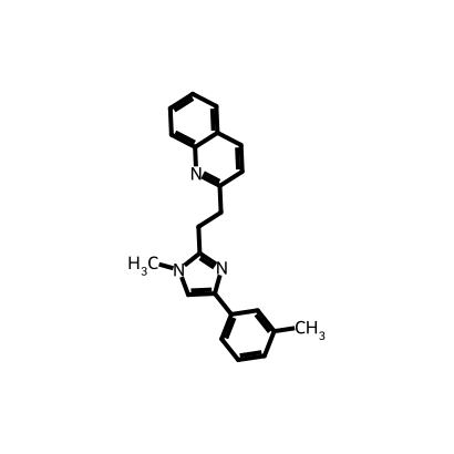 Cc1cccc(-c2cn(C)c(CCc3ccc4ccccc4n3)n2)c1